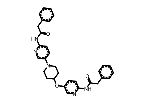 O=C(Cc1ccccc1)Nc1ccc(OC2CCN(c3ccc(NC(=O)Cc4ccccc4)nc3)CC2)cn1